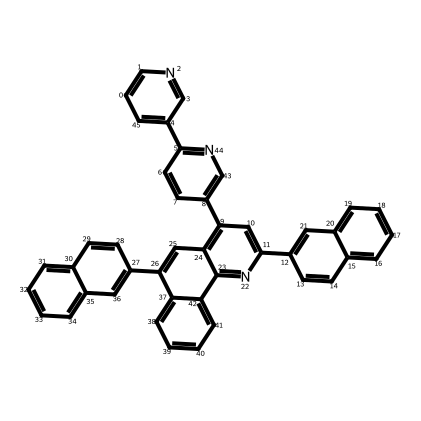 c1cncc(-c2ccc(-c3cc(-c4ccc5ccccc5c4)nc4c3cc(-c3ccc5ccccc5c3)c3ccccc34)cn2)c1